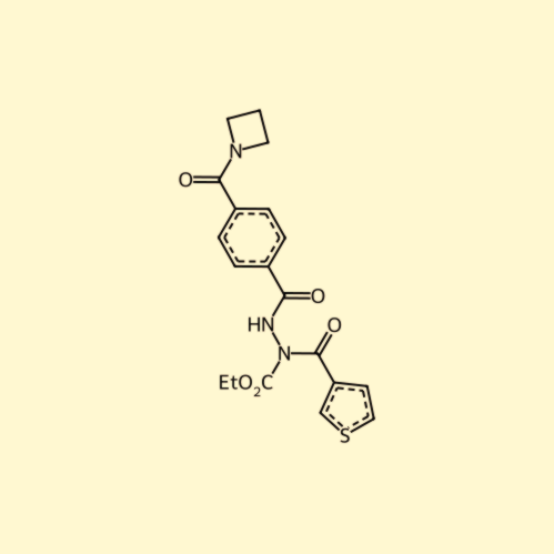 CCOC(=O)N(NC(=O)c1ccc(C(=O)N2CCC2)cc1)C(=O)c1ccsc1